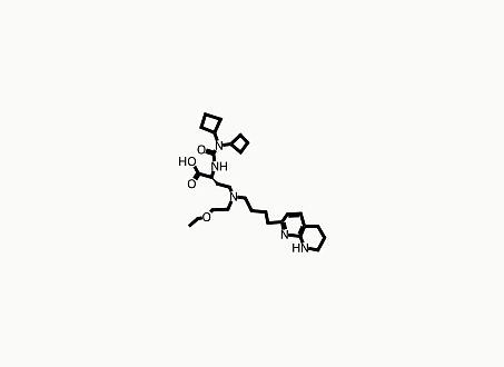 CCOCCN(CCCCc1ccc2c(n1)NCCC2)CC[C@H](NC(=O)N(C1CCC1)C1CCC1)C(=O)O